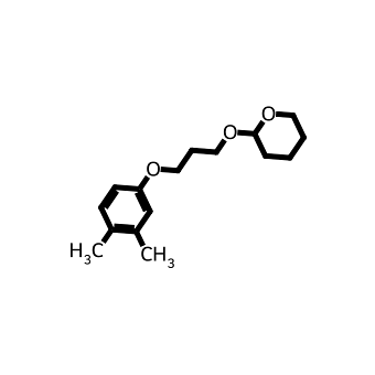 Cc1ccc(OCCCOC2CCCCO2)cc1C